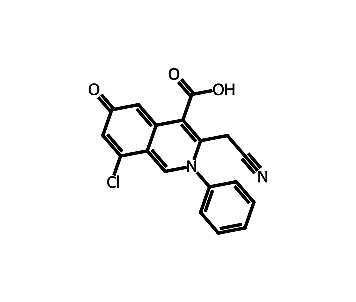 N#CCc1c(C(=O)O)c2cc(=O)cc(Cl)c-2cn1-c1ccccc1